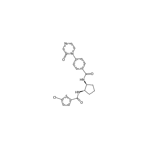 O=C(N[C@H]1CCC[C@H]1NC(=O)c1ccc(Cl)s1)c1ccc(-n2ccncc2=O)cc1